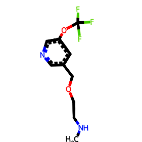 CNCCOCc1cncc(OC(F)(F)F)c1